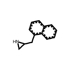 c1ccc2c(CC3CN3)cccc2c1